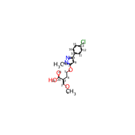 CO/C=C(\CCOc1cc(-c2ccc(Cl)cc2)nn1C)C(=O)O